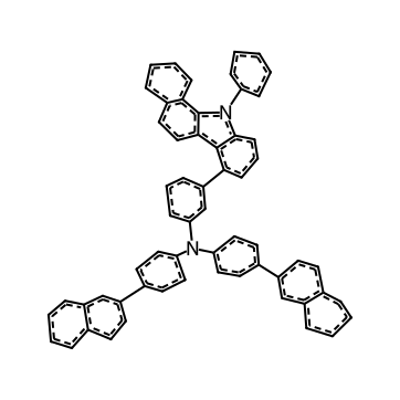 c1ccc(-n2c3cccc(-c4cccc(N(c5ccc(-c6ccc7ccccc7c6)cc5)c5ccc(-c6ccc7ccccc7c6)cc5)c4)c3c3ccc4ccccc4c32)cc1